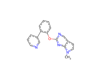 Cn1ccc2cnc(Oc3ccccc3-c3cccnc3)nc21